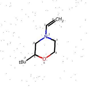 C=CN1CCOC(C(C)(C)C)C1